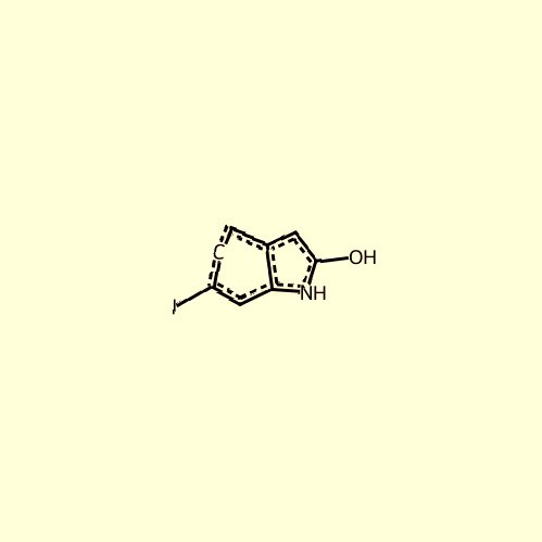 Oc1cc2ccc(I)cc2[nH]1